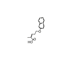 CC(=CCCOc1ccc2ccccc2c1)C(=O)O